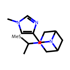 CSC(C)N1CC2CC(C1)N2Cc1cn(C)cn1